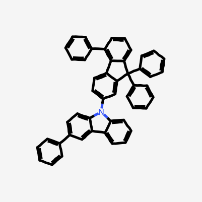 c1ccc(-c2ccc3c(c2)c2ccccc2n3-c2ccc3c(c2)C(c2ccccc2)(c2ccccc2)c2cccc(-c4ccccc4)c2-3)cc1